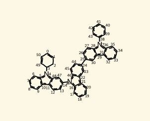 C1=CCC(n2c3ccccc3c3ccc(-n4c5ccccc5c5cc(-c6ccc7c(c6)c6ccccc6n7-c6ccccc6)ccc54)cc32)C=C1